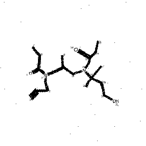 C#CCN(C(=O)CC)C(C)CN(C(=O)CC)C(C)(C)CCO